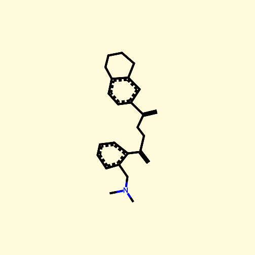 C=C(CCC(=C)c1ccccc1CN(C)C)c1ccc2c(c1)CCCC2